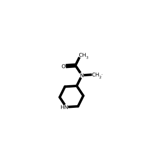 [CH2]N(C(C)=O)C1CCNCC1